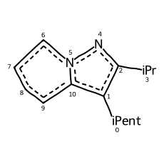 CCCC(C)c1c(C(C)C)nn2ccccc12